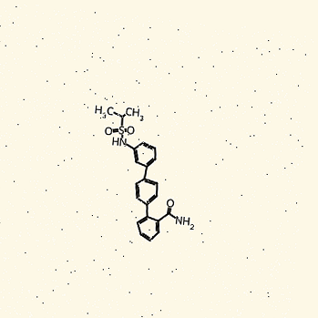 CC(C)S(=O)(=O)Nc1cccc(-c2ccc(-c3ccccc3C(N)=O)cc2)c1